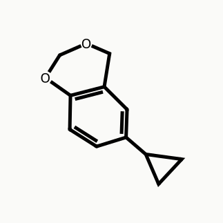 c1cc2c(cc1C1CC1)COCO2